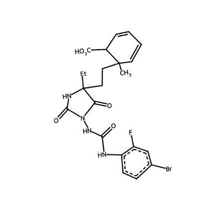 CCC1(CCC2(C)C=CC=CC2C(=O)O)NC(=O)N(NC(=O)Nc2ccc(Br)cc2F)C1=O